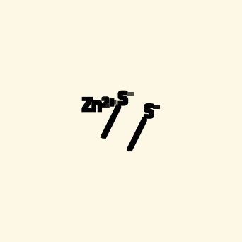 C[S-].C[S-].[Zn+2]